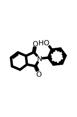 O=C1C2C=CCCC2C(=O)N1c1ccccc1O